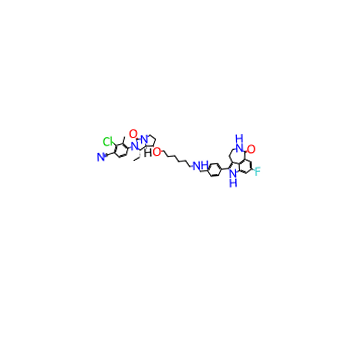 CC[C@H]1[C@@H]2[C@@H](OCCCCCCNCc3ccc(-c4[nH]c5cc(F)cc6c5c4CCNC6=O)cc3)CCN2C(=O)N1c1ccc(C#N)c(Cl)c1C